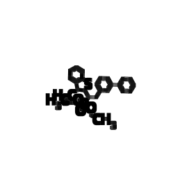 CCOP(=O)(OCC)C(Cc1cccc(-c2ccccc2)c1)C1Sc2ccccc2C1C